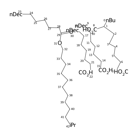 CCCCC(CCCCCC(=O)O)C(=O)O.CCCCCCCCCCCCCCCC(=O)O.CCCCCCCCCCCCCCCC(=O)O.CCCCCCCCCCCCCCCC(=O)OCCCCCCCCCCC(C)C